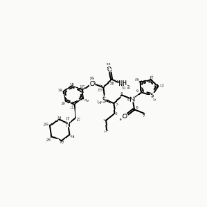 CCCC(CN(C(C)=O)c1cccs1)SC(Oc1cccc(CN2CCCCC2)c1)C(N)=O